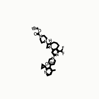 COC1(c2nccc(C)c2C2CCN(c3cc4c(c(C(F)F)n3)CCC[C@H]3[C@H](N5CCN(C(=O)OC(C)(C)C)CC5)CN43)CC2)CC1